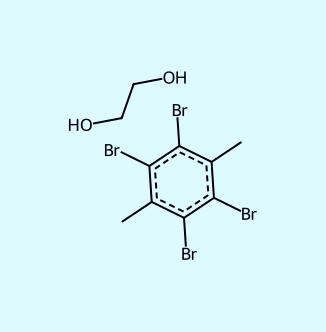 Cc1c(Br)c(Br)c(C)c(Br)c1Br.OCCO